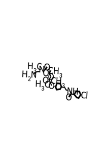 CC(OC(=O)N(C)CCN)OC(=O)C(C)(C)Oc1ccc(CCNC(=O)c2ccc(Cl)cc2)cc1